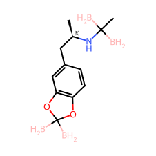 BC(B)(C)N[C@H](C)Cc1ccc2c(c1)OC(B)(B)O2